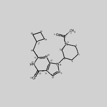 CC(=O)N1CCCC(n2ncc3c(=O)[nH]c(CC4CCC4)nc32)C1